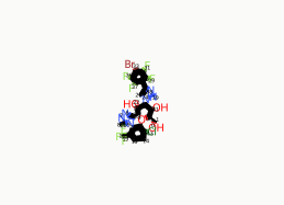 OC[C@H]1O[C@@H](c2nncn2-c2cc(Cl)ccc2C(F)(F)F)[C@H](O)[C@@H](n2cc(-c3c(F)c(F)c(Br)c(F)c3F)nn2)[C@H]1O